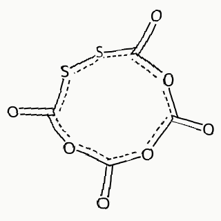 O=c1oc(=O)oc(=O)ssc(=O)o1